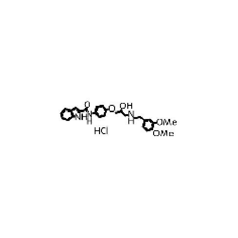 COc1ccc(CCNCC(O)COc2ccc(NC(=O)c3cc4ccccc4[nH]3)cc2)cc1OC.Cl